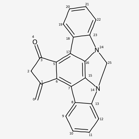 C=C1CC(=O)c2c1c1c3ccccc3n3c1c1c2c2ccccc2n1C3